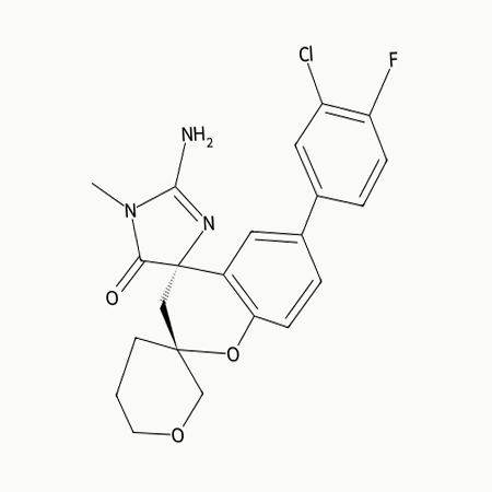 CN1C(=O)[C@@]2(C[C@@]3(CCCOC3)Oc3ccc(-c4ccc(F)c(Cl)c4)cc32)N=C1N